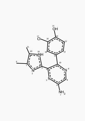 Cc1nc(-c2nc(N)cnc2-c2ccc(O)c(Cl)c2)[nH]c1C